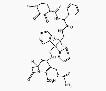 CCN1CCN(C(=O)NC(C(=O)NCC(C)(C)[Si](ONC2S[C@@H]3CC(=O)N3C(C(=O)O)=C2COC(N)=O)(c2ccccc2)c2ccccc2)c2ccccc2)C(=O)C1=O